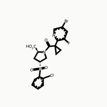 O=C(O)[C@@H]1C[C@@H](S(=O)(=O)c2ccccc2Cl)CN1C(=O)C1(c2ncc(Br)cc2F)CC1